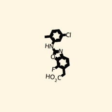 Cc1ccc(Cl)cc1Nc1nc2ccc(CC(=O)O)c(F)c2o1